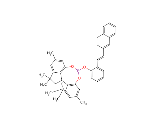 Cc1cc2c3c(c1)C(C)(C)CC31CC(C)(C)c3cc(C)cc(c31)OP(Oc1ccccc1/C=C/c1ccc3ccccc3c1)O2